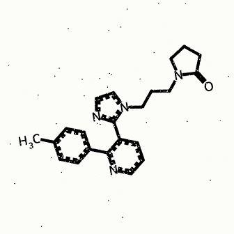 Cc1ccc(-c2ncccc2-c2nccn2CCCN2CCCC2=O)cc1